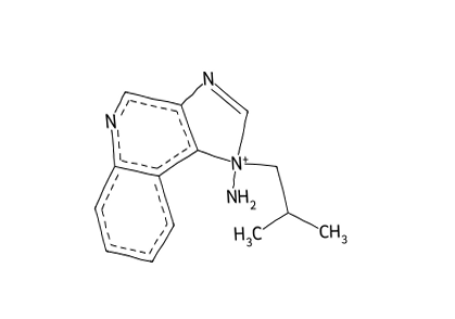 CC(C)C[N+]1(N)C=Nc2cnc3ccccc3c21